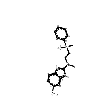 CC(=O)[N+](C)(CCN(C)c1nc2ccc([N+](=O)[O-])cc2s1)c1ccccc1